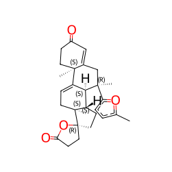 Cc1ccc([C@]2(C)CC3=CC(=O)CC[C@]3(C)C3=CC[C@@]4(C)[C@@H](CC[C@@]45CCC(=O)O5)[C@@H]32)o1